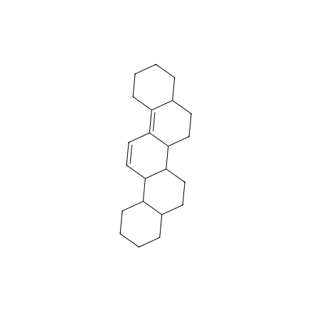 C1=CC2C3CCCCC3CCC2C2CCC3CCCCC3=C12